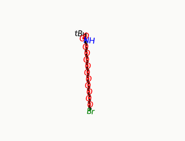 CC(C)(C)OC(=O)NCCOCCOCCOCCOCCOCCOCCOCCOCCOCCOCCBr